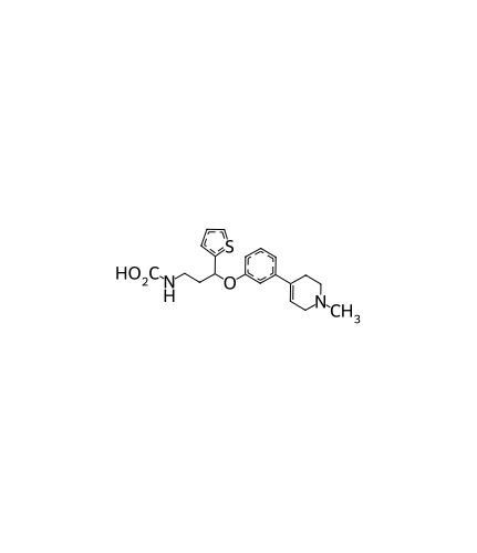 CN1CC=C(c2cccc(OC(CCNC(=O)O)c3cccs3)c2)CC1